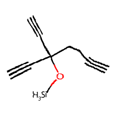 C#CCC(C#C)(C#C)O[SiH3]